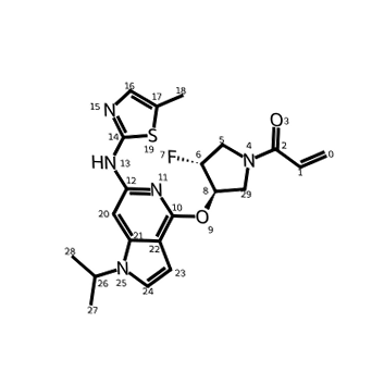 C=CC(=O)N1C[C@@H](F)[C@H](Oc2nc(Nc3ncc(C)s3)cc3c2ccn3C(C)C)C1